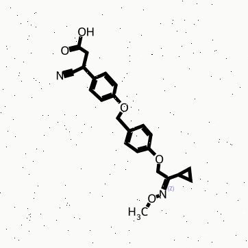 CO/N=C(\COc1ccc(COc2ccc(C(C#N)CC(=O)O)cc2)cc1)C1CC1